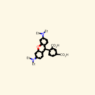 CCN(CC)c1ccc2c(-c3ccc(C(=O)O)cc3C(=O)O)c3ccc(=[N+](CC)CC)cc-3oc2c1